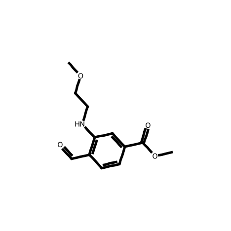 COCCNc1cc(C(=O)OC)ccc1C=O